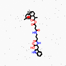 CC1C(OC(=O)CCC(=O)NCCCC(=O)NC(Cc2c[nH]c3ccccc23)C(=O)O)O[C@H]2OC3(C)CC[C@H]4[C@H](C)CCC1C24OO3